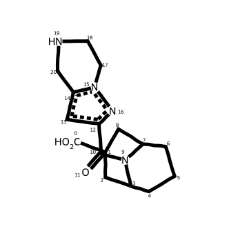 O=C(O)C1CC2CCCC(C1)N2C(=O)c1cc2n(n1)CCNC2